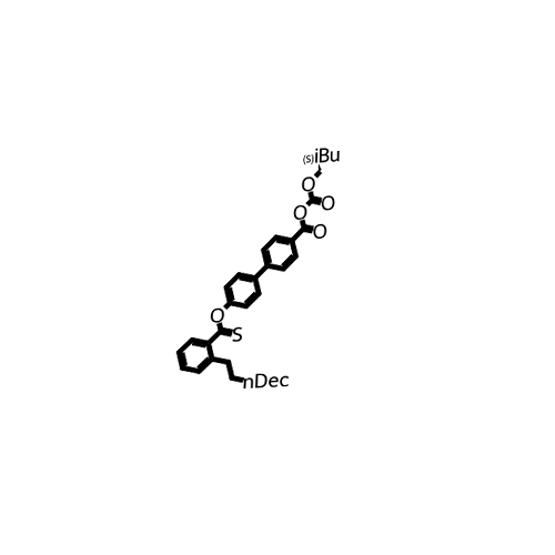 CCCCCCCCCCCCc1ccccc1C(=S)Oc1ccc(-c2ccc(C(=O)OC(=O)OC[C@@H](C)CC)cc2)cc1